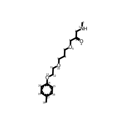 CNCC(=O)COCCCOCCOc1ccc(C)cc1